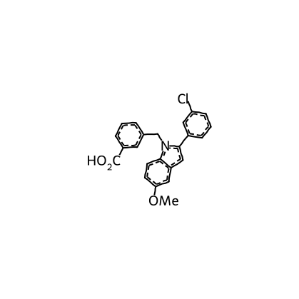 COc1ccc2c(c1)cc(-c1cccc(Cl)c1)n2Cc1cccc(C(=O)O)c1